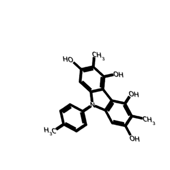 Cc1ccc(-n2c3cc(O)c(C)c(O)c3c3c(O)c(C)c(O)cc32)cc1